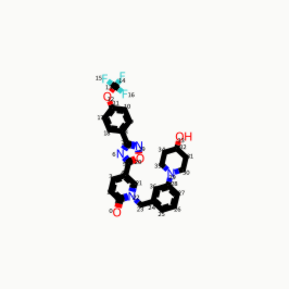 O=c1ccc(-c2nc(-c3ccc(OC(F)(F)F)cc3)no2)cn1Cc1cccc(N2CCC(O)CC2)c1